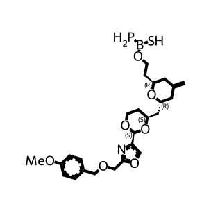 C=C1C[C@H](C[C@@H]2CCO[C@H](c3coc(COCc4ccc(OC)cc4)n3)O2)O[C@@H](CCOB(P)S)C1